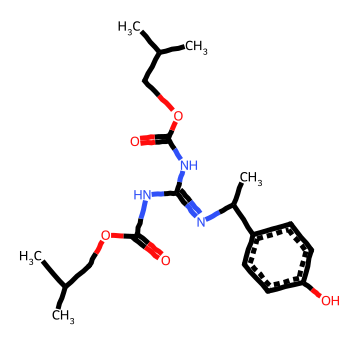 CC(C)COC(=O)NC(=NC(C)c1ccc(O)cc1)NC(=O)OCC(C)C